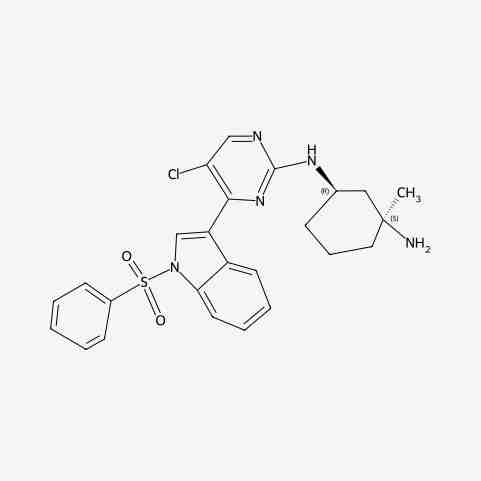 C[C@]1(N)CCC[C@@H](Nc2ncc(Cl)c(-c3cn(S(=O)(=O)c4ccccc4)c4ccccc34)n2)C1